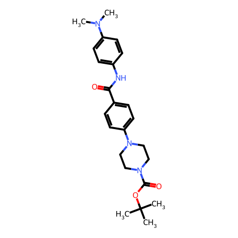 CN(C)c1ccc(NC(=O)c2ccc(N3CCN(C(=O)OC(C)(C)C)CC3)cc2)cc1